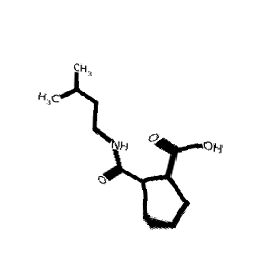 CC(C)CCNC(=O)C1CCCC1C(=O)O